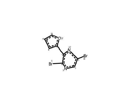 Brc1cnc(Br)c(-c2ccco2)n1